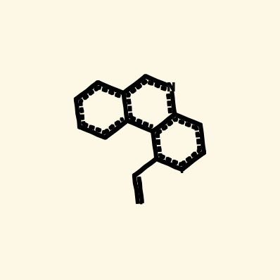 [CH]=Cc1[c]ccc2ncc3ccccc3c12